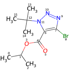 CC(C)OC(=O)c1c(Br)nnn1C(C)(C)C